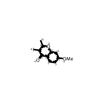 COc1ccc2c(=O)c(I)c(C)oc2c1